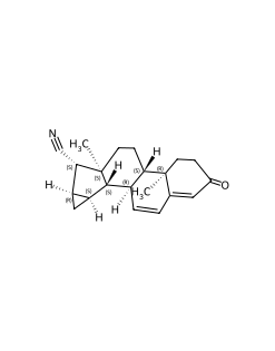 C[C@]12CC[C@H]3[C@@H](C=CC4=CC(=O)CC[C@@]43C)[C@@H]1[C@H]1C[C@H]1[C@@H]2C#N